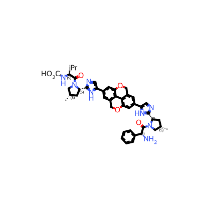 CC(C)[C@H](NC(=O)O)C(=O)N1C[C@@H](C)C[C@H]1c1ncc(-c2cc3c4c(c2)OCc2cc(-c5cnc([C@@H]6C[C@H](C)CN6C(=O)[C@H](N)c6ccccc6)[nH]5)cc(c2-4)OC3)[nH]1